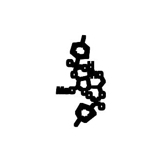 CO[C@@H]1O[C@H](C(CO)OS(=O)(=O)c2ccc(C)cc2)[C@@H](O)C1OS(=O)(=O)c1ccc(C)cc1